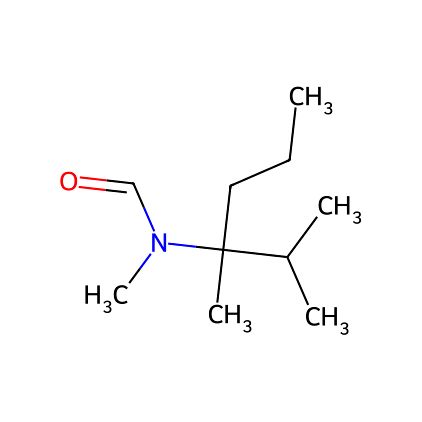 CCCC(C)(C(C)C)N(C)C=O